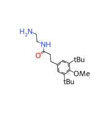 COc1c(C(C)(C)C)cc(CCC(=O)NCCN)cc1C(C)(C)C